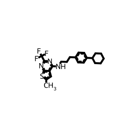 Cc1cc2c(NCCCc3ccc(C4CCCCC4)cc3)nc(C(F)(F)F)nc2s1